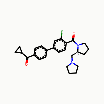 O=C(c1ccc(-c2ccc(C(=O)N3CCC[C@H]3CN3CCCC3)c(F)c2)cc1)C1CC1